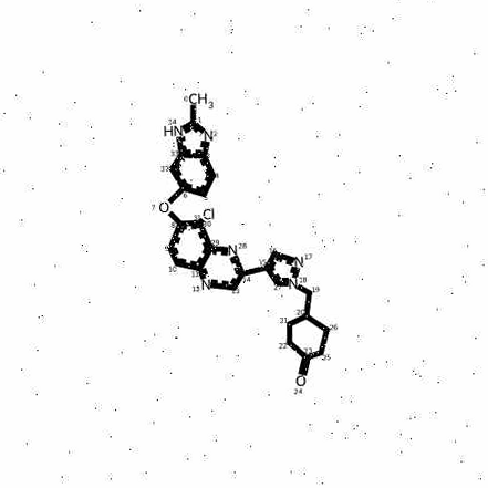 Cc1nc2ccc(Oc3ccc4ncc(-c5cnn(CC6CCC(=O)CC6)c5)nc4c3Cl)cc2[nH]1